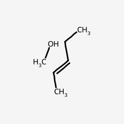 CC=CCC.CO